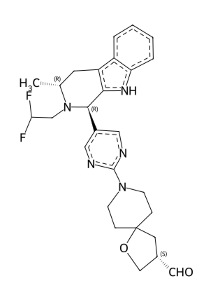 C[C@@H]1Cc2c([nH]c3ccccc23)[C@@H](c2cnc(N3CCC4(CC3)C[C@H](C=O)CO4)nc2)N1CC(F)F